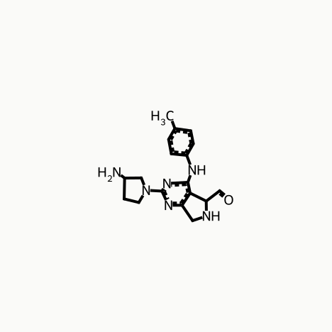 Cc1ccc(Nc2nc(N3CCC(N)C3)nc3c2C(C=O)NC3)cc1